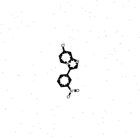 O=[N+]([O-])c1cccc(-c2cnc3cc(Cl)ccn23)c1